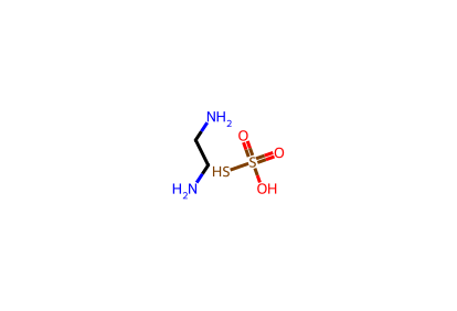 NCCN.O=S(=O)(O)S